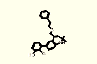 CC1(C)C=C(CSCCc2ccccc2)c2cc(-c3cccc(O)c3Cl)ccc2N1